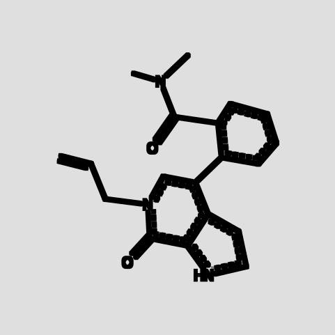 C=CCn1cc(-c2ccccc2C(=O)N(C)C)c2cc[nH]c2c1=O